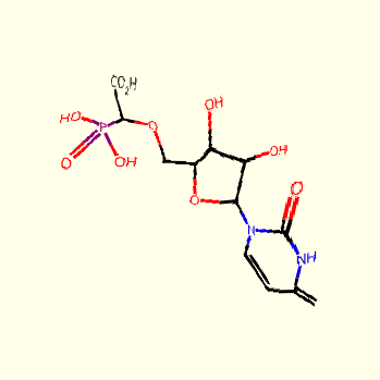 C=C1C=CN(C2OC(COC(C(=O)O)P(=O)(O)O)C(O)C2O)C(=O)N1